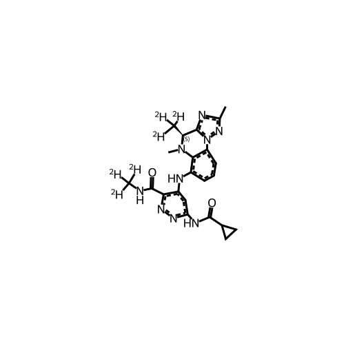 [2H]C([2H])([2H])NC(=O)c1nnc(NC(=O)C2CC2)cc1Nc1cccc2c1N(C)[C@@H](C([2H])([2H])[2H])c1nc(C)nn1-2